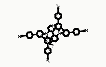 N#Cc1ccc(-c2ccc3c(c2)c2cc(-c4ccc(C#N)cc4)ccc2n3-c2ccncc2-c2cc(C(F)(F)F)ccc2-n2c3ccc(-c4ccc(C#N)cc4)cc3c3cc(-c4ccc(C#N)cc4)ccc32)cc1